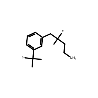 CCC(C)(C)c1cccc(CC(F)(F)CCN)c1